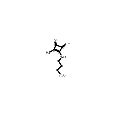 CC(C)(C)CCCNc1c(S)c(=S)c1=O